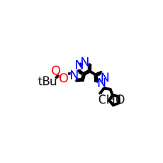 CC(C)(C)C(=O)OCn1ccc2c(-c3cnn(C(CC=O)CC4CCCC4)c3)cnnc21